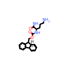 NCCCC(NC(=O)OCC1c2ccccc2C2C=CC=C[C@@H]21)C(N)=O